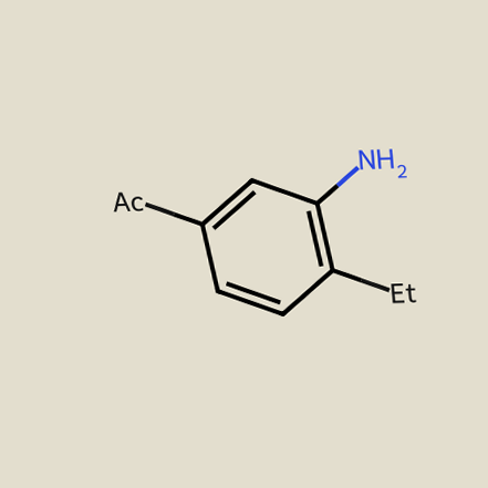 CCc1ccc(C(C)=O)cc1N